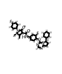 Cc1c(C(=O)Nc2ccc(Oc3ncnc4ccc(-c5ccccc5)n34)c(F)c2)c(=O)n(-c2ccc(F)cc2)n1C